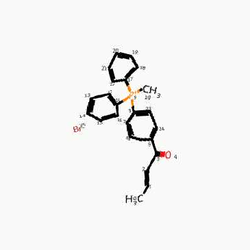 C/C=C/C(=O)c1ccc([P+](C)(c2ccccc2)c2ccccc2)cc1.[Br-]